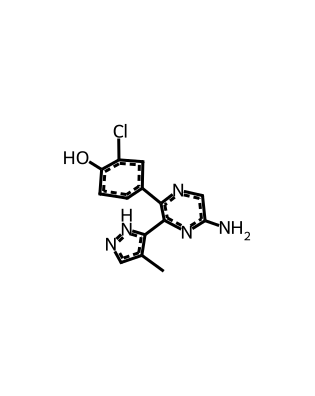 Cc1cn[nH]c1-c1nc(N)cnc1-c1ccc(O)c(Cl)c1